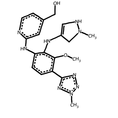 COc1c(-c2nnn(C)n2)ccc(Nc2cc(CO)ccn2)c1NC1=CNN(C)C1